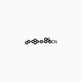 N#Cc1ccc2c(c1)Oc1cccc3c(-c4ccc(-c5cc6ccc7cc(-c8ccc9ccccc9c8)cc8ccc(c5)c6c78)cc4)ccc-2c13